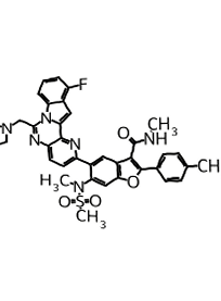 CNC(=O)c1c(-c2ccc(C)cc2)oc2cc(N(C)S(C)(=O)=O)c(-c3ccc4nc(CN5CC[C@@H](F)C5)n5c6cccc(F)c6cc5c4n3)cc12